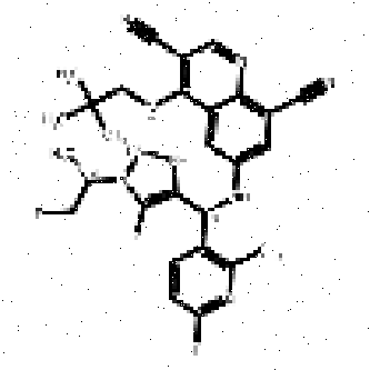 Cc1nc(F)ccc1[C@H](Nc1cc(C#N)c2ncc(C#N)c(NCC(C)(C)C)c2c1)C1=C(F)N([C@@H](C)CF)NN1